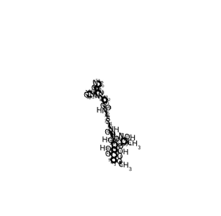 COc1cccc2c1C(=O)c1c(O)c3c(c(O)c1C2=O)C[C@@](O)(C(=O)COC(=O)NCCSSCCNC(=O)Oc1cccc(-c2nc(N4CCOCC4)c4oc5ncccc5c4n2)c1)CC3OC1C[C@@H](C)[C@@H](O)[C@@H](N)C1